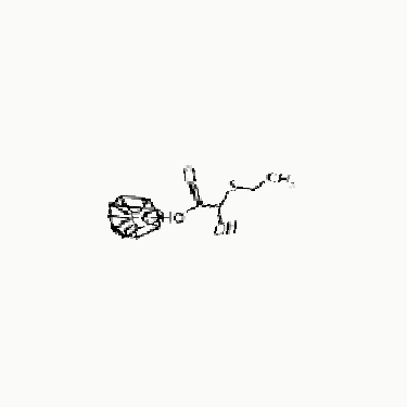 CCSC(O)C(=O)O.[CH]12[CH]3[CH]4[CH]5[CH]1[Fe]23451678[CH]2[CH]1[CH]6[CH]7[CH]28